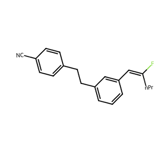 CCC/C(F)=C\c1cccc(CCc2ccc(C#N)cc2)c1